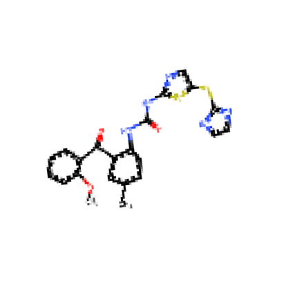 COc1ccccc1C(=O)c1cc(C)ccc1NC(=O)Nc1ncc(Sc2ncc[nH]2)s1